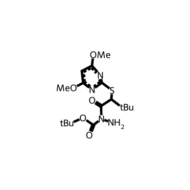 COc1cc(OC)nc(SC(C(=O)N(N)C(=O)OC(C)(C)C)C(C)(C)C)n1